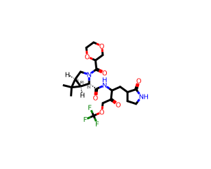 CC1(C)[C@@H]2[C@@H](C(=O)NC(CC3CCNC3=O)C(=O)COC(F)(F)F)N(C(=O)C3COCCO3)C[C@@H]21